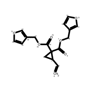 C=CC1CC1(C(=O)OCc1ccoc1)C(=O)OCc1ccoc1